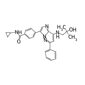 CC(C)(O)CNc1cc(-c2ccccc2)nn2c(-c3ccc(C(=O)NC4CC4)cc3)cnc12